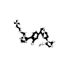 CC(C)[C@H]1COC(=O)N1c1ccn2ncc(-c3ccc(-c4ncnn4COCC[Si](C)(C)C)c(Cl)c3)c2n1